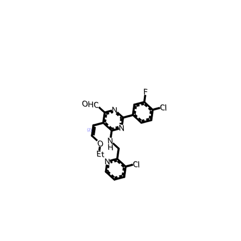 CCO/C=C\c1c(C=O)nc(-c2ccc(Cl)c(F)c2)nc1NCc1ncccc1Cl